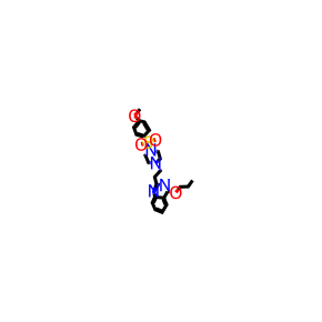 CCCOc1nc(CCN2CCN(S(=O)(=O)c3ccc(OC)cc3)CC2)nc2ccccc12